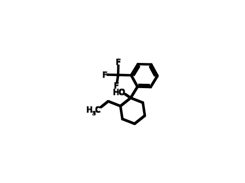 CCC1CCCCC1(O)c1ccccc1C(F)(F)F